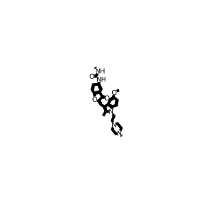 CNC(=O)Nc1ccc2c(c1)C(=O)C(=Cc1c(C)n(CCN3CCN(C)CC3)c3ccc(OC)cc13)O2